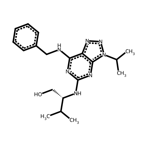 CC(C)[C@H](CO)Nc1nc(NCc2ccccc2)c2nnn(C(C)C)c2n1